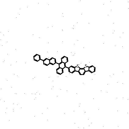 c1ccc(-c2ccc3cc(-c4c5ccccc5c(-c5ccc6c(c5)sc5c6ccc6c7ccccc7sc65)c5ccccc45)ccc3c2)cc1